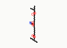 CCCCC(CCCC)CCOC(=O)CCCCCCCCCC(CCCCCCCCCC(=O)OCCC(CCCC)CCCC)OC(=O)CN(C)C